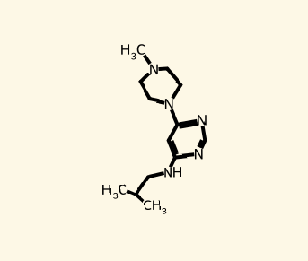 CC(C)CNc1cc(N2CCN(C)CC2)ncn1